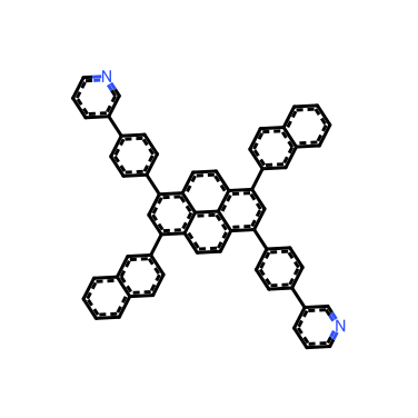 c1cncc(-c2ccc(-c3cc(-c4ccc5ccccc5c4)c4ccc5c(-c6ccc(-c7cccnc7)cc6)cc(-c6ccc7ccccc7c6)c6ccc3c4c56)cc2)c1